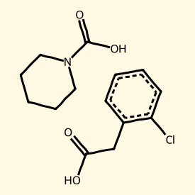 O=C(O)Cc1ccccc1Cl.O=C(O)N1CCCCC1